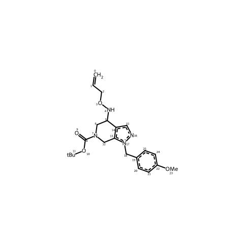 C=CCONC1CN(C(=O)OC(C)(C)C)Cc2c1cnn2Cc1ccc(OC)cc1